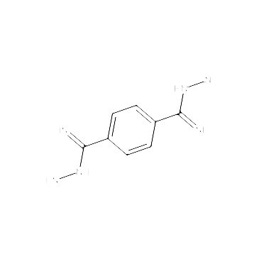 N=C(NN)c1ccc(C(=N)NN)cc1